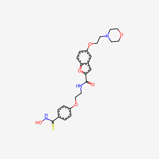 O=C(NCCOc1ccc(C(=S)NO)cc1)c1cc2cc(OCCN3CCOCC3)ccc2o1